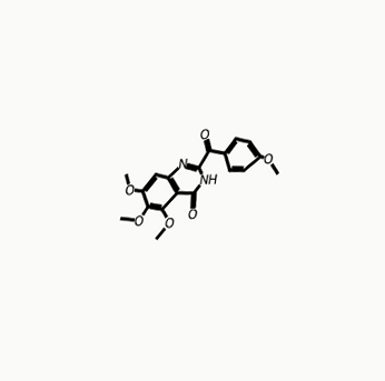 COc1ccc(C(=O)c2nc3cc(OC)c(OC)c(OC)c3c(=O)[nH]2)cc1